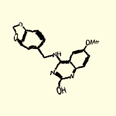 COc1ccc2nc(O)nc(NCc3ccc4c(c3)OCO4)c2c1